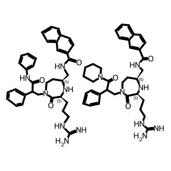 N=C(N)NCCC[C@@H]1N[C@H](CNC(=O)c2ccc3ccccc3c2)CCN(CC(C(=O)N2CCCCC2)c2ccccc2)C1=O.N=C(N)NCCC[C@@H]1N[C@H](CNC(=O)c2ccc3ccccc3c2)CCN(CC(C(=O)Nc2ccccc2)c2ccccc2)C1=O